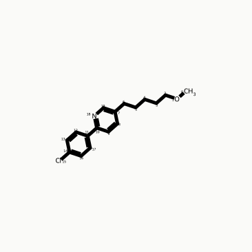 COCCCCCc1ccc(-c2ccc(Cl)cc2)nc1